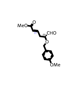 COC(=O)/C=C/C[C@@H](C=O)OCc1ccc(OC)cc1